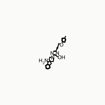 Cc1ccc(OCC#Cc2cnc(N3CCC4(CC3)Cc3ccccc3C4N)c(CO)n2)cc1